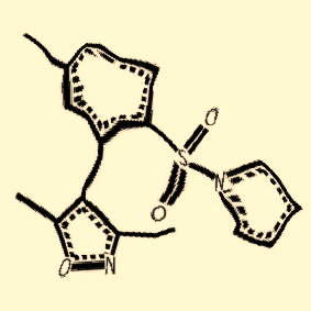 Cc1ccc(S(=O)(=O)n2cccc2)c(-c2c(C)noc2C)c1